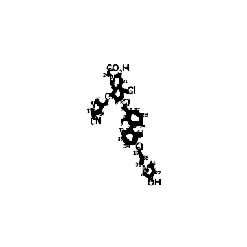 Cc1c(COc2cc(OCc3cncc(C#N)c3)c3c(c2Cl)CCN(CC(=O)O)C3)cccc1-c1cccc(OCCCN2CC[C@@H](O)C2)c1C